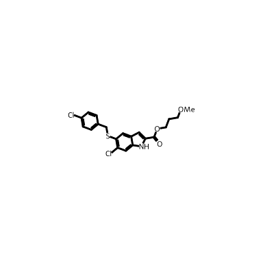 COCCCOC(=O)c1cc2cc(SCc3ccc(Cl)cc3)c(Cl)cc2[nH]1